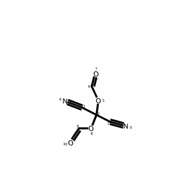 N#CC(C#N)(OC=O)OC=O